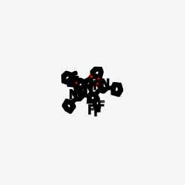 Cc1ccccc1-c1ccc2c(c1)c1ccccc1n2-c1c(-c2cc(-c3ccccc3)nc(-c3ccccc3)n2)cc(C(F)(F)F)cc1-c1cc(-c2ccccc2)nc(-c2ccccc2)n1